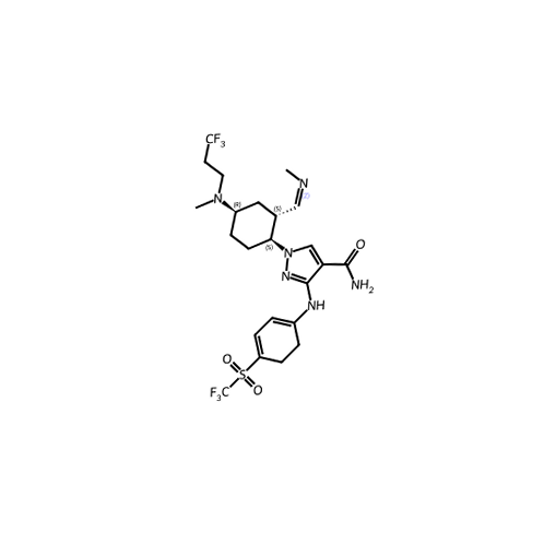 C/N=C\[C@H]1C[C@H](N(C)CCC(F)(F)F)CC[C@@H]1n1cc(C(N)=O)c(NC2=CC=C(S(=O)(=O)C(F)(F)F)CC2)n1